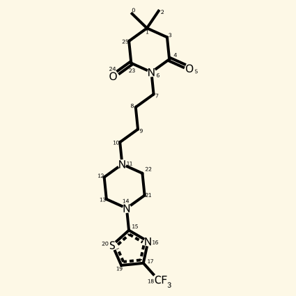 CC1(C)CC(=O)N(CCCCN2CCN(c3nc(C(F)(F)F)cs3)CC2)C(=O)C1